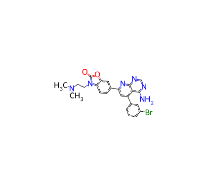 CN(C)CCn1c(=O)oc2cc(-c3cc(-c4cccc(Br)c4)c4c(N)ncnc4n3)ccc21